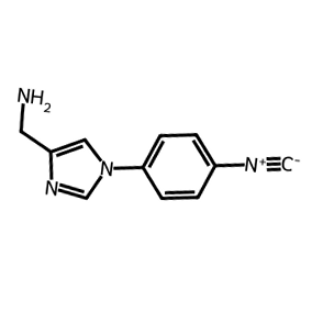 [C-]#[N+]c1ccc(-n2cnc(CN)c2)cc1